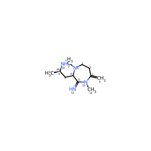 C=C1CCN(C)C(C[C@@H](C)N)C(=N)N1C